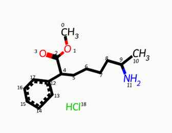 COC(=O)C(CCCCC(C)N)c1ccccc1.Cl